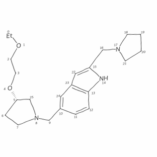 CCOCCO[C@H]1CCN(Cc2ccc3[nH]c(CN4CCCC4)cc3c2)C1